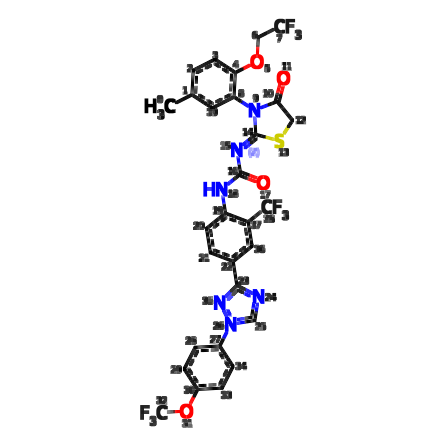 Cc1ccc(OCC(F)(F)F)c(N2C(=O)CS/C2=N\C(=O)Nc2ccc(-c3ncn(-c4ccc(OC(F)(F)F)cc4)n3)cc2C(F)(F)F)c1